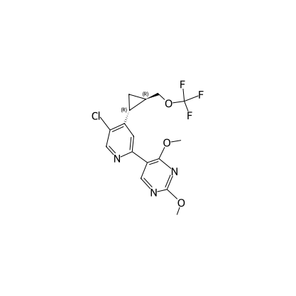 COc1ncc(-c2cc([C@@H]3C[C@H]3COC(F)(F)F)c(Cl)cn2)c(OC)n1